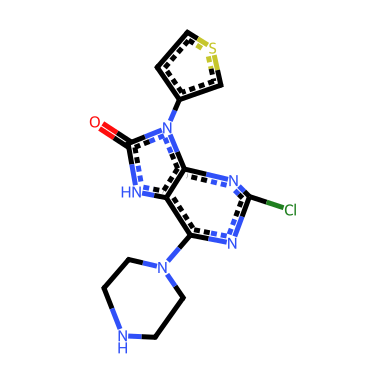 O=c1[nH]c2c(N3CCNCC3)nc(Cl)nc2n1-c1ccsc1